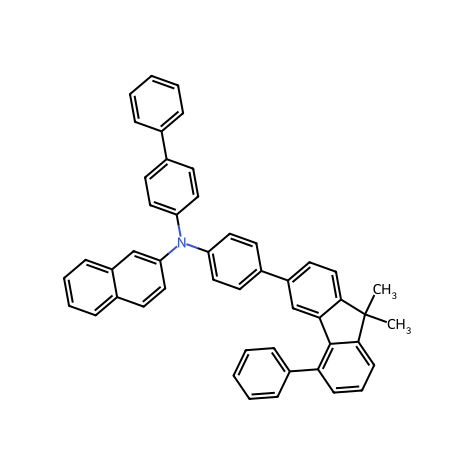 CC1(C)c2ccc(-c3ccc(N(c4ccc(-c5ccccc5)cc4)c4ccc5ccccc5c4)cc3)cc2-c2c(-c3ccccc3)cccc21